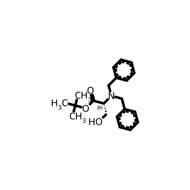 CC(C)(C)OC(=O)[C@@H](CO)N(Cc1ccccc1)Cc1ccccc1